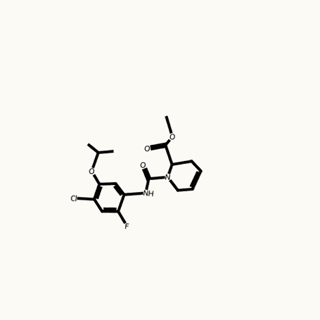 COC(=O)C1CC=CCN1C(=O)Nc1cc(OC(C)C)c(Cl)cc1F